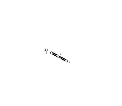 [O].[O]=[Sn]=[O]